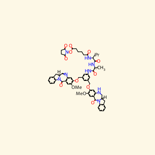 COc1cc2c(cc1OCc1cc(COc3cc4c(cc3OC)C(=O)N3c5ccccc5C[C@H]3CN4)cc(NC(=O)[C@H](C)NC(=O)C(NC(=O)CCCCC(=O)ON3C(=O)CCC3=O)C(C)C)c1)N=C[C@@H]1Cc3ccccc3N1C2=O